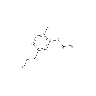 CCCc1ccc(C)c(CCC)c1